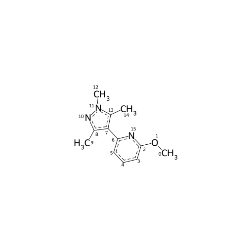 COc1cccc(-c2c(C)nn(C)c2C)n1